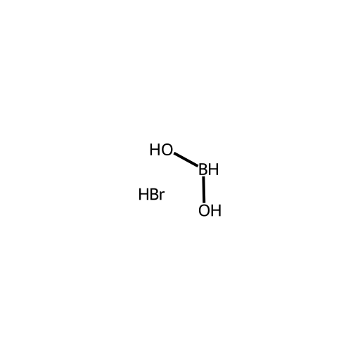 Br.OBO